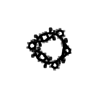 O=C1c2ccc3c4c5ccc(c24)C(=O)N1C1CCCC[C@@H]1n1c(=O)c2cc4c(=O)n(c(=O)c4cc2c1=O)[C@H]1CCCC[C@@H]1n1c(=O)c2cc4c(=O)n(c(=O)c4cc2c1=O)C1CCCC[C@@H]1N(C3=O)C5=O